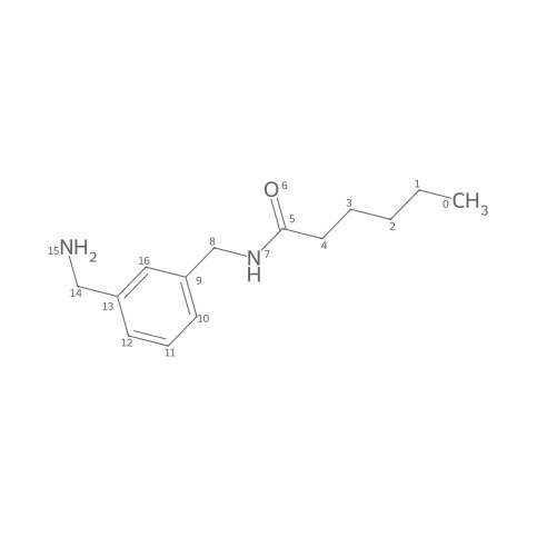 CCCCCC(=O)NCc1cccc(CN)c1